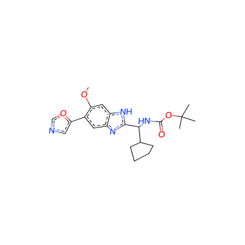 COc1cc2[nH]c(C(NC(=O)OC(C)(C)C)C3CCCC3)nc2cc1-c1cnco1